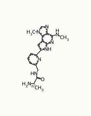 CNc1nc2[nH]c(-c3cccc(CNC(=O)[C@H](C)N)n3)cc2c2c1ncn2C